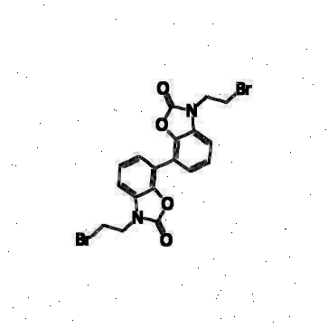 O=c1oc2c(-c3cccc4c3oc(=O)n4CCBr)cccc2n1CCBr